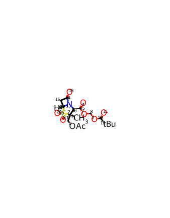 CC(=O)OC[C@@]1(C)[C@H](C(=O)OCOC(=O)C(C)(C)C)N2C(=O)C[C@H]2S1(=O)=O